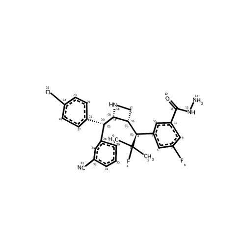 CC(C)(F)[C@H](c1cc(F)cc(C(=O)NN)c1)[C@H]1CN[C@H]1[C@@H](c1ccc(Cl)cc1)c1cccc(C#N)c1